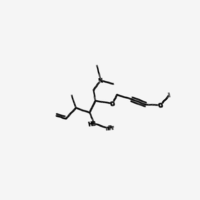 C=CC(C)C(BCCC)C(CN(C)C)OCC#COI